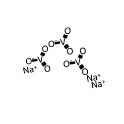 [Na+].[Na+].[Na+].[O]=[V](=[O])[O-].[O]=[V](=[O])[O-].[O]=[V](=[O])[O-]